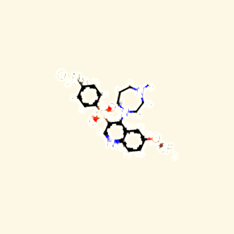 CN1CCCN(c2c(S(=O)(=O)c3ccc([N+](=O)[O-])cc3)cnc3ccc(OC(F)(F)F)cc23)CC1